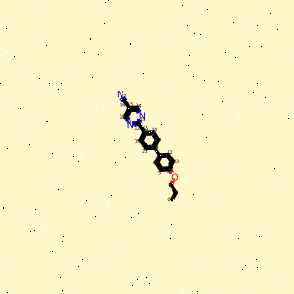 CCCOc1ccc(-c2ccc(-c3ncc(C#N)cn3)cc2)cc1